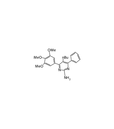 CCCCc1c(-c2ccccc2)nc(N)nc1-c1cc(OC)c(OC)c(OC)c1